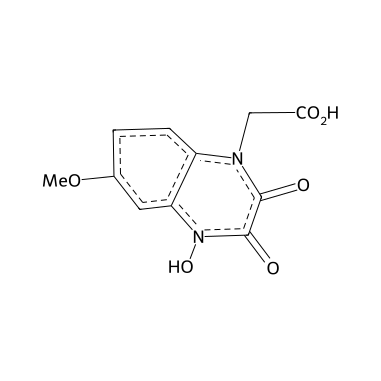 COc1ccc2c(c1)n(O)c(=O)c(=O)n2CC(=O)O